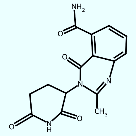 Cc1nc2cccc(C(N)=O)c2c(=O)n1C1CCC(=O)NC1=O